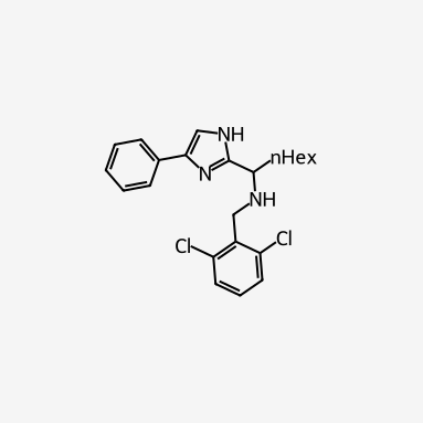 CCCCCCC(NCc1c(Cl)cccc1Cl)c1nc(-c2ccccc2)c[nH]1